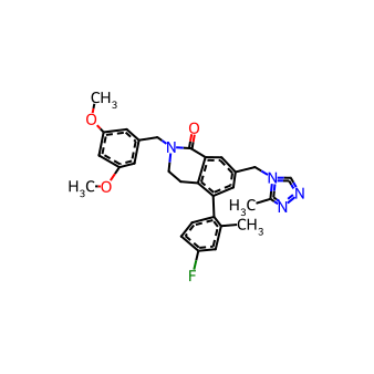 COc1cc(CN2CCc3c(cc(Cn4cnnc4C)cc3-c3ccc(F)cc3C)C2=O)cc(OC)c1